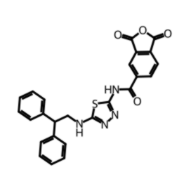 O=C(Nc1nnc(NCC(c2ccccc2)c2ccccc2)s1)c1ccc2c(c1)C(=O)OC2=O